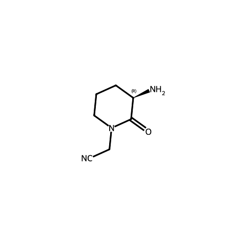 N#CCN1CCC[C@@H](N)C1=O